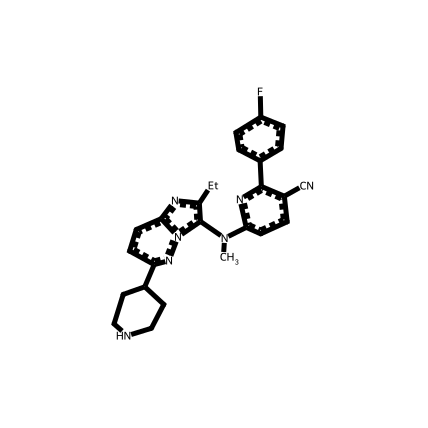 CCc1nc2ccc(C3CCNCC3)nn2c1N(C)c1ccc(C#N)c(-c2ccc(F)cc2)n1